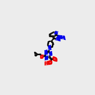 O=C(O)c1nc(OCC2CC2)nc(N2CCC(c3n[nH]c4ncccc34)CC2)n1